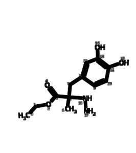 CCOC(=O)C(C)(Cc1ccc(O)c(O)c1)NN